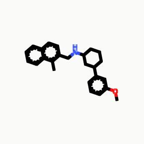 COc1cccc(C2CCCC(NCc3ccc4ccccc4c3C)C2)c1